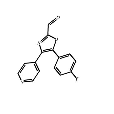 O=Cc1nc(-c2ccncc2)c(-c2ccc(F)cc2)o1